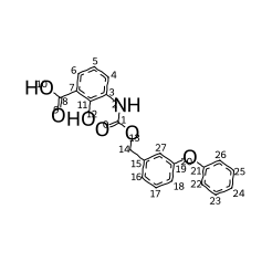 O=C(Nc1cccc(C(=O)O)c1O)OCc1cccc(Oc2ccccc2)c1